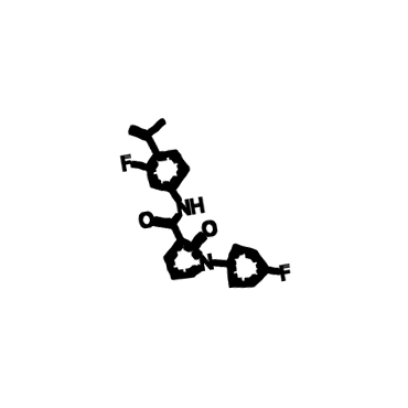 C=C(C)c1ccc(NC(=O)c2cccn(-c3ccc(F)cc3)c2=O)cc1F